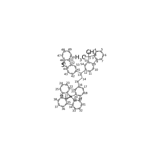 CC1(C)c2ccccc2-c2ccc(C(CCc3cccc4c3-c3ccccc3C43c4ccccc4-c4ccccc43)c3ccc4sc5ccccc5c4c3)cc21